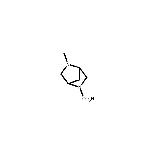 CN1CC2CC1CN2C(=O)O